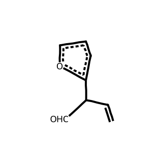 C=CC(C=O)c1ccco1